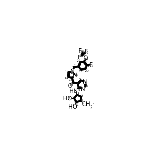 [CH2][C@@H]1C[C@@H](Nc2ncncc2C(=O)c2ccn(Cc3ccc(F)c(OC(F)(F)F)c3)n2)[C@H](O)[C@@H]1O